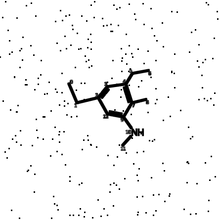 CCc1cc(CC)c(C)c(NC)c1